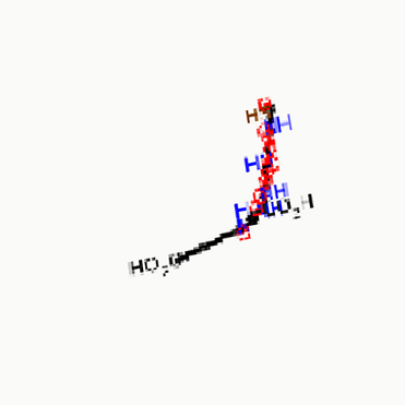 C[C@@H](CCCCNC(=O)COCCOCCNC(=O)COCCOCCNC(=O)CC[C@H](NC(=O)[C@H]1CC[C@H](CNC(=O)CCCCCCCCCCCCCCCCCCC(=O)O)CC1)C(=O)O)C(=O)S